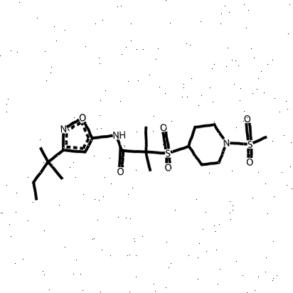 CCC(C)(C)c1cc(NC(=O)C(C)(C)S(=O)(=O)C2CCN(S(C)(=O)=O)CC2)on1